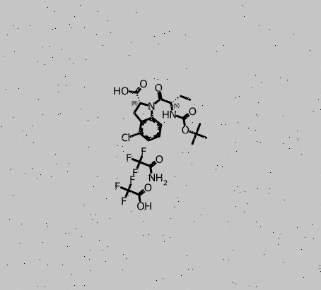 CC[C@H](NC(=O)OC(C)(C)C)C(=O)N1c2cccc(Cl)c2C[C@@H]1C(=O)O.NC(=O)C(F)(F)F.O=C(O)C(F)(F)F